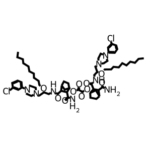 CCCCCCCCCCOC(CNC(=O)C1C2CCC(OC(=O)C(=O)OC34CCC(C3)C(C(N)=O)C4C(=O)NCC(CN3CCN(c4cccc(Cl)c4)CC3)OCCCCCCCCCC)(C2)C1C(N)=O)CN1CCN(c2cccc(Cl)c2)CC1